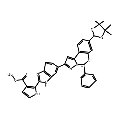 CC(C)(C)OC(=O)c1cc[nH]c1-c1nc2ccc(-c3cc4n(n3)[C@H](c3ccccc3)Oc3cc(B5OC(C)(C)C(C)(C)O5)ccc3-4)cc2[nH]1